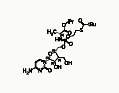 CC(C)OC(=O)[C@@H](C)N[P@](=O)(OCCSC(=O)C(C)(C)C)OC[C@H]1O[C@@H](n2ccc(N)nc2=O)[C@H](O)[C@@H]1CO